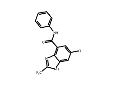 O=C(Nc1ccccc1)c1cc(Cl)cc2[nH]c(C(F)(F)F)nc12